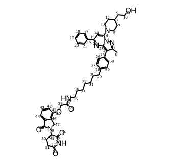 Cc1nn2c(N3CCC(CCO)CC3)cc(-c3ccccc3)nc2c1-c1ccc(CCCCCCCNC(=O)COc2cccc3c2CN(C2CCC(=O)NC2=O)C3=O)cc1